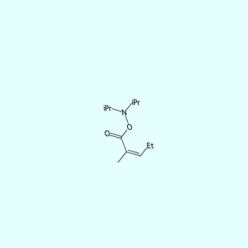 CCC=C(C)C(=O)ON(C(C)C)C(C)C